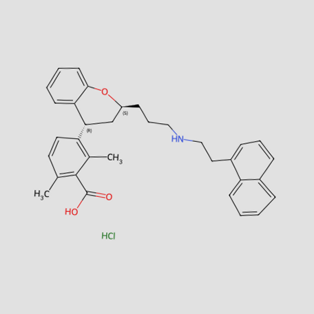 Cc1ccc([C@H]2C[C@H](CCCNCCc3cccc4ccccc34)Oc3ccccc32)c(C)c1C(=O)O.Cl